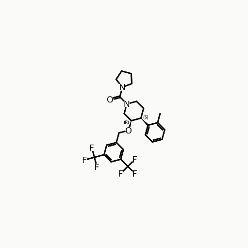 Cc1ccccc1[C@@H]1CCN(C(=O)N2CCCC2)C[C@@H]1OCc1cc(C(F)(F)F)cc(C(F)(F)F)c1